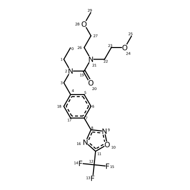 CCN(Cc1ccc(-c2noc(C(F)(F)F)n2)cc1)C(=O)N(CCOC)CCOC